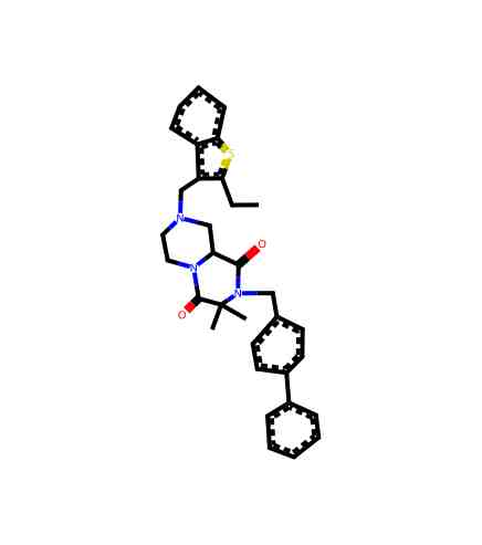 CCc1sc2ccccc2c1CN1CCN2C(=O)C(C)(C)N(Cc3ccc(-c4ccccc4)cc3)C(=O)C2C1